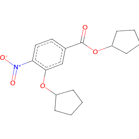 O=C(OC1CCCC1)c1ccc([N+](=O)[O-])c(OC2CCCC2)c1